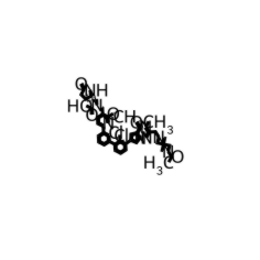 COc1nc(-c2cccc(-c3cccc(-c4cc5c(=O)n(C)c(CN6CC7(C6)CN(C(C)=O)C7)nn5c4)c3Cl)c2Cl)ccc1CN(C[C@@H]1CCC(=O)N1)C(=O)O